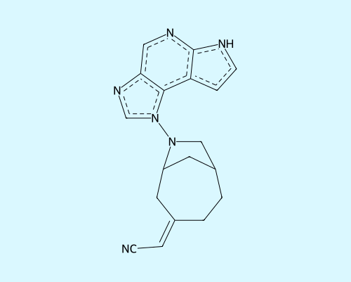 N#C/C=C1/CCC2CC(C1)N(n1cnc3cnc4[nH]ccc4c31)C2